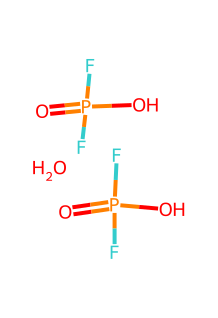 O.O=P(O)(F)F.O=P(O)(F)F